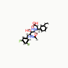 CCc1cccc([C@](C)(CC(=O)O)NC[C@@H](O)[C@H](Cc2cc(F)cc(F)c2)NC(C)=O)c1